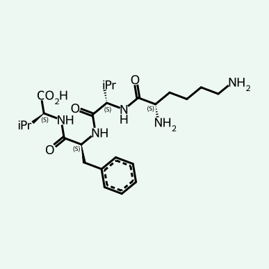 CC(C)[C@H](NC(=O)[C@H](Cc1ccccc1)NC(=O)[C@@H](NC(=O)[C@@H](N)CCCCN)C(C)C)C(=O)O